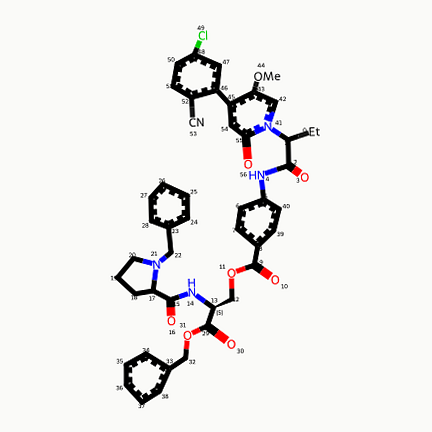 CCC(C(=O)Nc1ccc(C(=O)OC[C@H](NC(=O)C2CCCN2Cc2ccccc2)C(=O)OCc2ccccc2)cc1)n1cc(OC)c(-c2cc(Cl)ccc2C#N)cc1=O